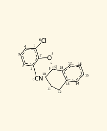 N#Cc1cccc(Cl)c1O[C@H]1CCCc2ccccc21